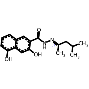 C/C(CC(C)C)=N\NC(=O)c1cc2cccc(O)c2cc1O